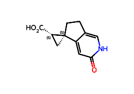 O=C(O)[C@H]1C[C@@]12CCc1c[nH]c(=O)cc12